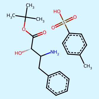 CC(C)(C)OC(=O)[C@@H](O)C(N)Cc1ccccc1.Cc1ccc(S(=O)(=O)O)cc1